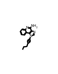 CCCC1C2C1C2n1cnc2c(N)nc3ccccc3c21